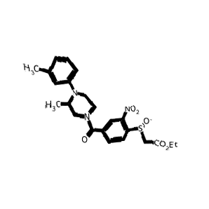 CCOC(=O)C[S+]([O-])c1ccc(C(=O)N2CCN(c3cccc(C)c3)C(C)C2)cc1[N+](=O)[O-]